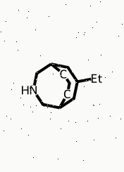 CCC1CC2CCCC(CNC2)C1